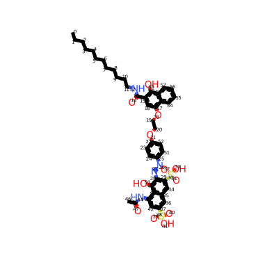 CCCCCCCCCCCCNC(=O)c1cc(OCCOc2ccc(N=Nc3c(S(=O)(=O)O)cc4cc(S(=O)(=O)O)cc(NC(C)=O)c4c3O)cc2)c2ccccc2c1O